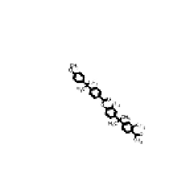 COc1ccc(C(C)(C)c2ccc(C(=O)Oc3ccc(C(C)(C)c4ccc(C(C)=O)c(C)c4)cc3C)cc2)cc1